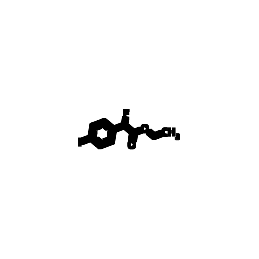 CCOC(=O)C(F)c1ccc(I)cc1